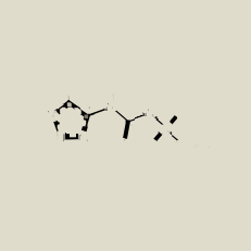 CCCCCS(=O)(=O)NC(=O)Nc1c[nH]nn1